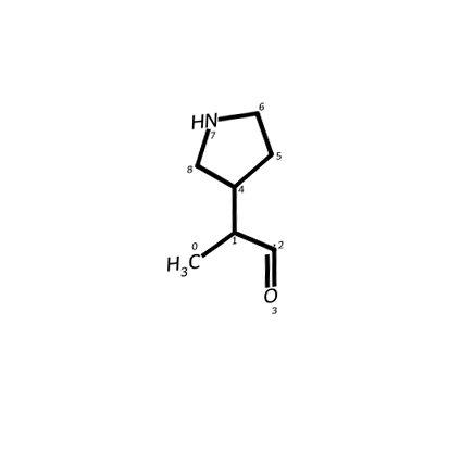 CC([C]=O)C1CCNC1